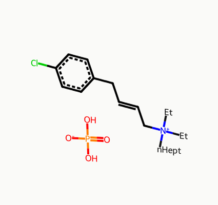 CCCCCCC[N+](CC)(CC)CC=CCc1ccc(Cl)cc1.O=P([O-])(O)O